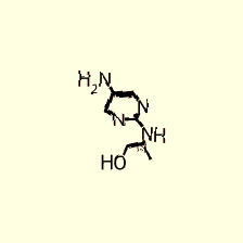 C[C@@H](CO)Nc1ncc(N)cn1